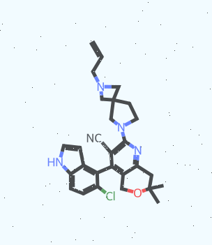 C=CCN1CC2(CCN(c3nc4c(c(-c5c(Cl)ccc6[nH]ccc56)c3C#N)COC(C)(C)C4)C2)C1